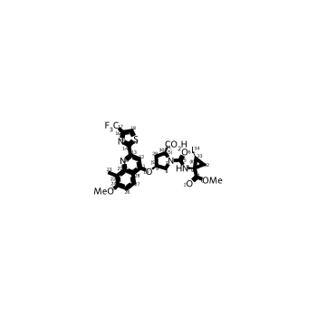 COC(=O)[C@@]1(NC(=O)N2C[C@@H](Oc3cc(-c4nc(C(F)(F)F)cs4)nc4c(C)c(OC)ccc34)C[C@H]2C(=O)O)C[C@H]1I